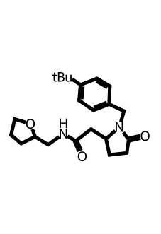 CC(C)(C)c1ccc(CN2C(=O)CCC2CC(=O)NCC2CCCO2)cc1